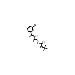 CC(NC(=O)COC(=O)NC(C)(C)C)c1cccc(Br)c1